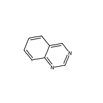 [c]1cccc2cncnc12